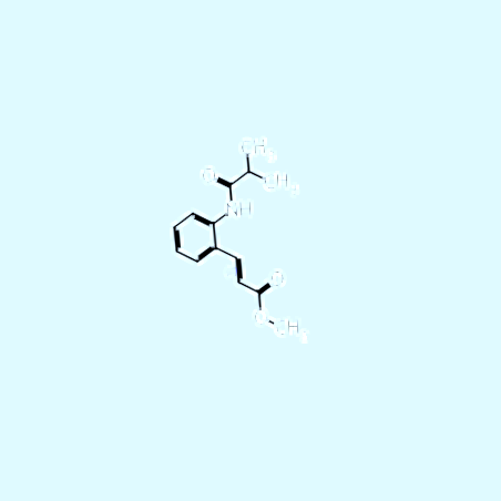 COC(=O)/C=C/c1ccccc1NC(=O)C(C)C